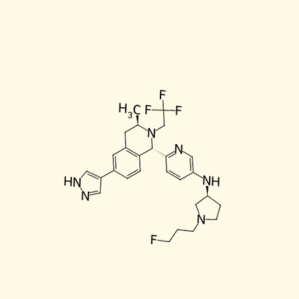 C[C@@H]1Cc2cc(-c3cn[nH]c3)ccc2[C@@H](c2ccc(N[C@H]3CCN(CCCF)C3)cn2)N1CC(F)(F)F